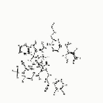 CCCCC1CN(C(=O)c2cccc(C)c2C)CCN1.CCCCC1CN(C(=O)c2cccc(C)c2C)CCN1C(=S)C(CC(c1ccccc1)(c1ccccc1)c1ccccc1)NC(=O)OC(C)(C)C